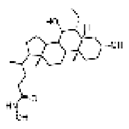 CC[C@H]1[C@@H](O)C2C3CCC([C@H](C)CCC(=O)NO)[C@@]3(C)CCC2[C@@]2(C)CC[C@@H](O)C[C@@H]12